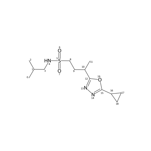 CC(C)CNS(=O)(=O)CCC(C)c1nnc(C2CC2)o1